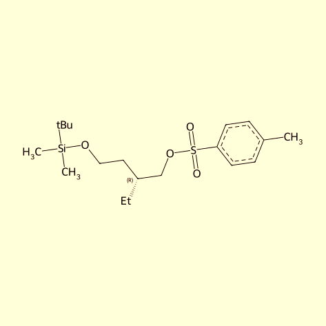 CC[C@H](CCO[Si](C)(C)C(C)(C)C)COS(=O)(=O)c1ccc(C)cc1